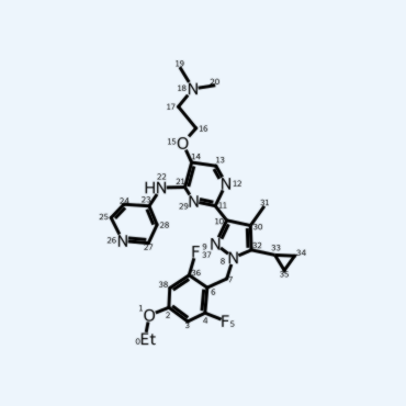 CCOc1cc(F)c(Cn2nc(-c3ncc(OCCN(C)C)c(Nc4ccncc4)n3)c(C)c2C2CC2)c(F)c1